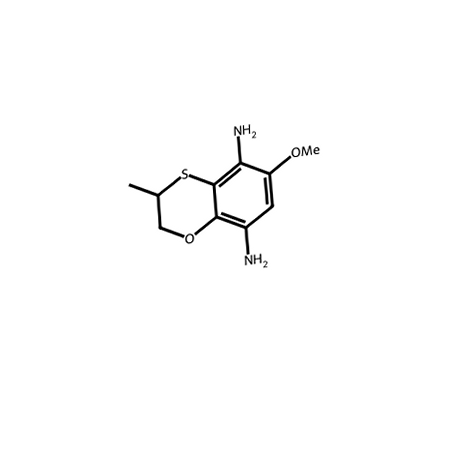 COc1cc(N)c2c(c1N)SC(C)CO2